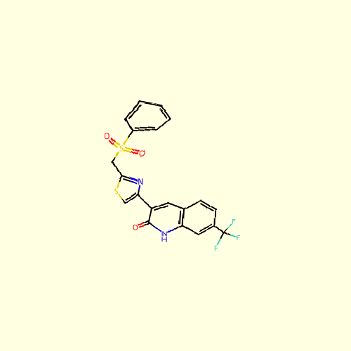 O=c1[nH]c2cc(C(F)(F)F)ccc2cc1-c1csc(CS(=O)(=O)c2ccccc2)n1